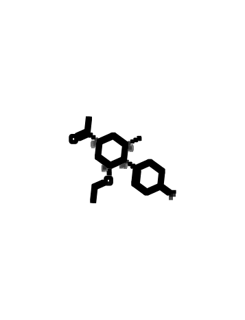 CCO[C@@H]1C[C@H](C(C)=O)C[C@H](C)[C@@H]1C1=CCC(F)CC1